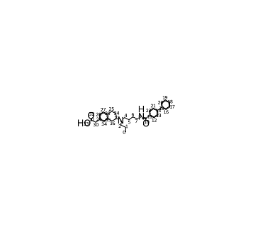 CCCN(CCCCNC(=O)c1ccc(-c2ccccc2)cc1)[C@@H]1CCc2ccc(CC(=O)O)cc2C1